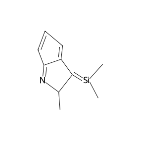 CC1N=C2C=CC=C2C1=[Si](C)C